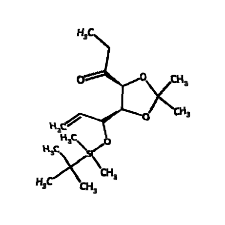 C=CC(O[Si](C)(C)C(C)(C)C)[C@@H]1OC(C)(C)O[C@@H]1C(=O)CC